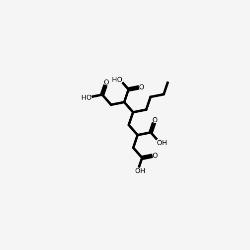 CCCCC(CC(CC(=O)O)C(=O)O)C(CC(=O)O)C(=O)O